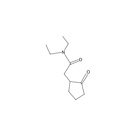 CCN(CC)C(=O)CC1CCCC1=O